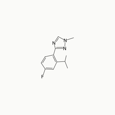 CC(C)c1cc(F)ccc1-c1ncn(C)n1